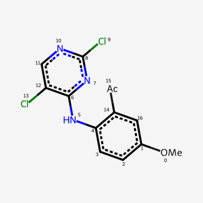 COc1ccc(Nc2nc(Cl)ncc2Cl)c(C(C)=O)c1